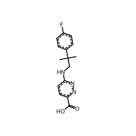 CC(C)(CNc1ccc(C(=O)O)nn1)c1ccc(F)cc1